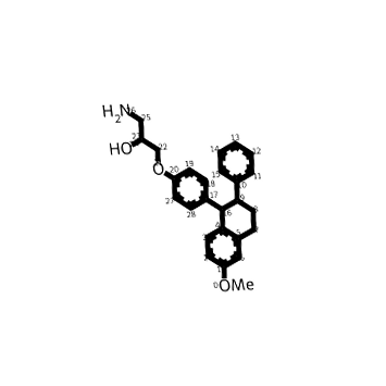 COc1ccc2c(c1)CCC(c1ccccc1)C2c1ccc(OCC(O)CN)cc1